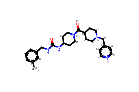 O=C(NCc1cccc(C(F)(F)F)c1)NC1CCN(C(=O)C2CCN(Cc3ccncc3)CC2)CC1